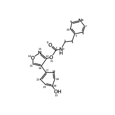 O=C(NCCc1ccncc1)Oc1nocc1-c1ccc(O)cc1